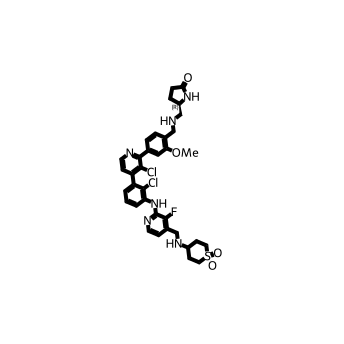 COc1cc(-c2nccc(-c3cccc(Nc4nccc(CNC5CCS(=O)(=O)CC5)c4F)c3Cl)c2Cl)ccc1CNC[C@H]1CCC(=O)N1